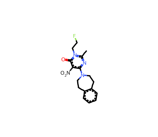 Cc1nc(N2CCc3ccccc3CC2)c([N+](=O)[O-])c(=O)n1CCF